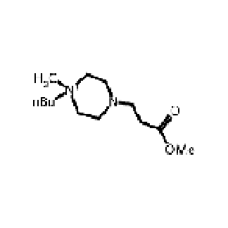 CCCC[N+]1(C)CCN(CCC(=O)OC)CC1